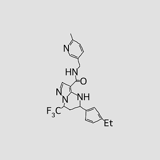 CCc1ccc(C2CC(C(F)(F)F)n3ncc(C(=O)NCc4ccc(C)nc4)c3N2)cc1